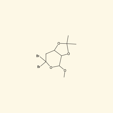 COC1OC(Br)(Br)CC2OC(C)(C)OC21